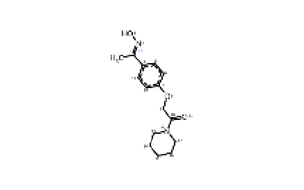 C/C(=N\O)c1ccc(OCC(=O)N2CCCCC2)cc1